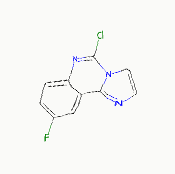 Fc1ccc2nc(Cl)n3ccnc3c2c1